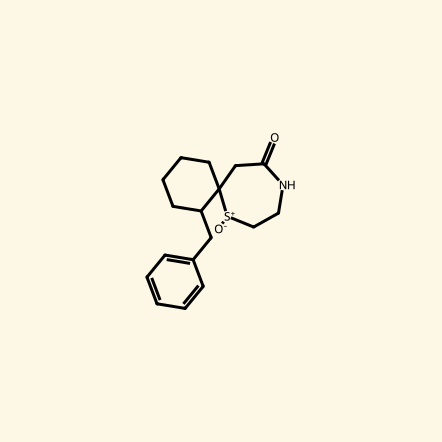 O=C1CC2(CCCCC2Cc2ccccc2)[S+]([O-])CCN1